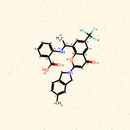 Cc1ccc2c(c1)CN(c1cc(=O)c3cc(C(F)(F)F)cc(C(C)Nc4ccccc4C(=O)O)c3o1)C2